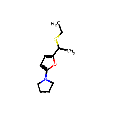 [CH2]CSC(C)c1ccc(N2CCCC2)o1